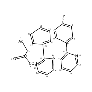 CC(=O)CC(=O)C(=O)O.[Ir].c1ccc(-c2ccccn2)cc1.c1ccc(-c2ccccn2)cc1